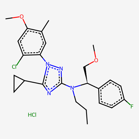 CCCN(c1nc(C2CC2)n(-c2cc(C)c(OC)cc2Cl)n1)[C@@H](COC)c1ccc(F)cc1.Cl